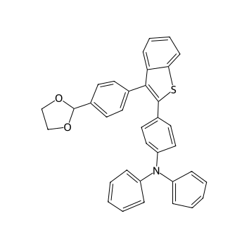 c1ccc(N(c2ccccc2)c2ccc(-c3sc4ccccc4c3-c3ccc(C4OCCO4)cc3)cc2)cc1